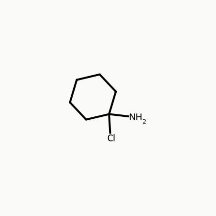 NC1(Cl)CCCCC1